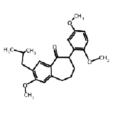 COc1ccc(OC)c(C2CCCc3cc(OC)c(CC(C)C)cc3C2=O)c1